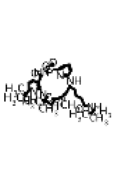 C[C@H]1CC(CCCC(=O)NC(C)(C)C)Nc2cccc(n2)S(=O)(=O)NC(=O)c2ccc(C(C)(C)C)nc2N2C[C@@H]1CC2(C)C